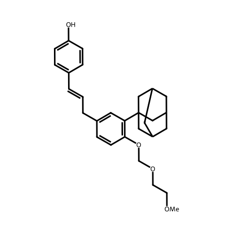 COCCOCOc1ccc(CC=Cc2ccc(O)cc2)cc1C12CC3CC(CC(C3)C1)C2